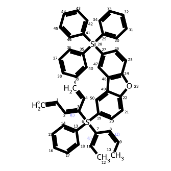 C=C/C=C(\C=C)S(C(/C=C\C)=C/C)(c1ccccc1)c1ccc2oc3ccc([Si](c4ccccc4)(c4ccccc4)c4ccccc4)cc3c2c1